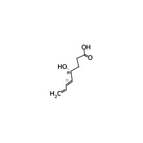 C=C/C=C/[C@H](O)CCC(=O)O